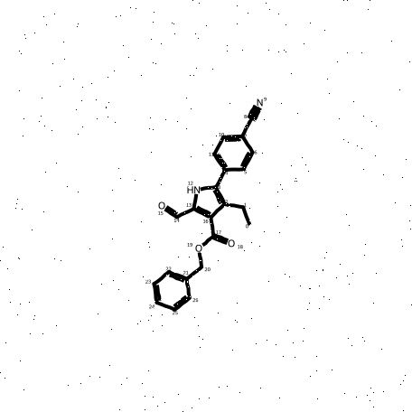 CCc1c(-c2ccc(C#N)cc2)[nH]c(C=O)c1C(=O)OCc1ccccc1